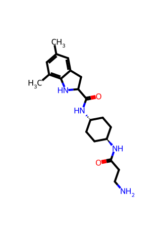 Cc1cc(C)c2c(c1)CC(C(=O)N[C@H]1CC[C@H](NC(=O)CCN)CC1)N2